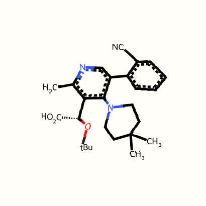 Cc1ncc(-c2ccccc2C#N)c(N2CCC(C)(C)CC2)c1[C@H](OC(C)(C)C)C(=O)O